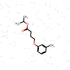 Cc1cccc(OCCCC(=O)OC(C)C)c1